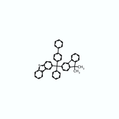 CC1(C)c2ccccc2-c2cc(C(c3ccccc3)(c3ccc(-c4ccccc4)cc3)c3ccc4sc5ccccc5c4c3)ccc21